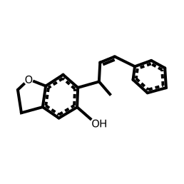 CC(/C=C\c1ccccc1)c1cc2c(cc1O)CCO2